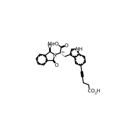 COC(=O)[C@H](Cc1c[nH]c2ccc(C#CCCC(=O)O)cc12)N1C(=O)c2ccccc2C1=O